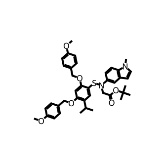 COc1ccc(COc2cc(OCc3ccc(OC)cc3)c(C(C)C)cc2SN(CC(=O)OC(C)(C)C)c2ccc3c(ccn3C)c2)cc1